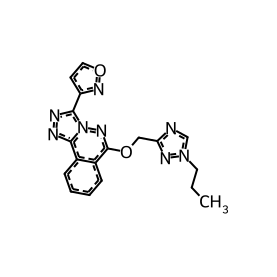 CCCn1cnc(COc2nn3c(-c4ccon4)nnc3c3ccccc23)n1